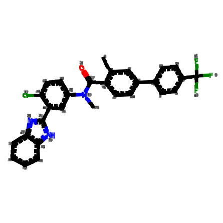 Cc1cc(-c2ccc(C(F)(F)F)cc2)ccc1C(=O)N(C)c1ccc(Cl)c(-c2nc3ccccc3[nH]2)c1